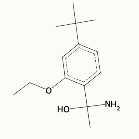 CCOc1cc(C(C)(C)C)ccc1C(C)(N)O